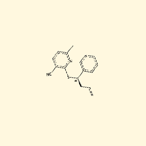 C=CC[C@@H](Sc1nc(C)ccc1C#N)c1ccccc1